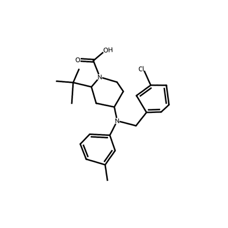 Cc1cccc(N(Cc2cccc(Cl)c2)C2CCN(C(=O)O)C(C(C)(C)C)C2)c1